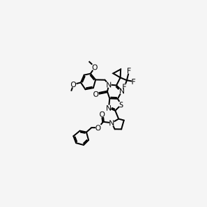 COc1ccc(Cn2c(C3(C(F)(F)F)CC3)nc3sc(C4CCCN4C(=O)OCc4ccccc4)nc3c2=O)c(OC)c1